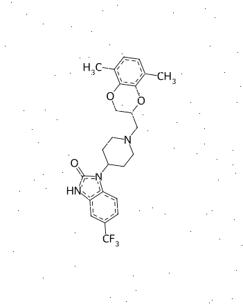 Cc1ccc(C)c2c1OCC(CN1CCC(n3c(=O)[nH]c4cc(C(F)(F)F)ccc43)CC1)O2